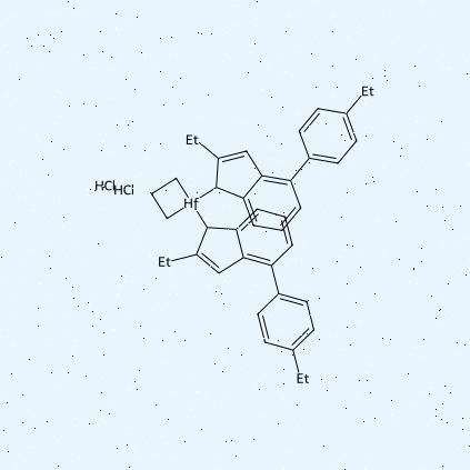 CCC1=Cc2c(-c3ccc(CC)cc3)cccc2[CH]1[Hf]1([CH]2C(CC)=Cc3c(-c4ccc(CC)cc4)cccc32)[CH2]C[CH2]1.Cl.Cl